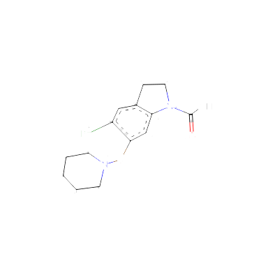 CC(=O)N1CCc2cc(Br)c(SN3CCCCC3)cc21